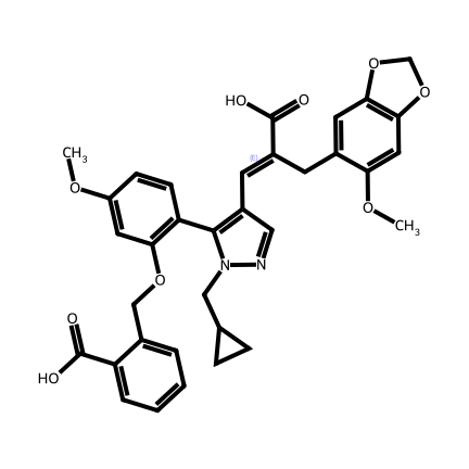 COc1ccc(-c2c(/C=C(\Cc3cc4c(cc3OC)OCO4)C(=O)O)cnn2CC2CC2)c(OCc2ccccc2C(=O)O)c1